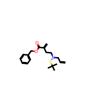 C=CCN(CCC(=C)C(=O)OCc1ccccc1)SC(C)(C)C